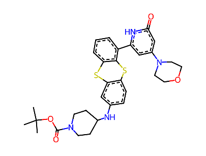 CC(C)(C)OC(=O)N1CCC(Nc2ccc3c(c2)Sc2cccc(-c4cc(N5CCOCC5)cc(=O)[nH]4)c2S3)CC1